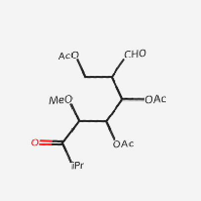 COC(C(=O)C(C)C)C(OC(C)=O)C(OC(C)=O)C(C=O)COC(C)=O